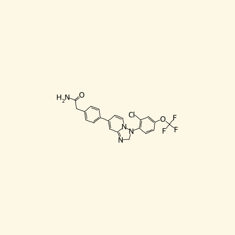 NC(=O)Cc1ccc(C2=CC3=NCN(c4ccc(OC(F)(F)F)cc4Cl)N3C=C2)cc1